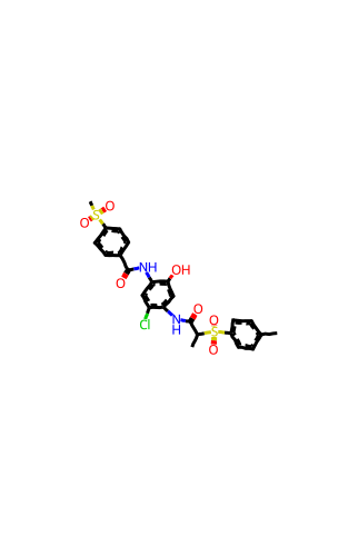 Cc1ccc(S(=O)(=O)C(C)C(=O)Nc2cc(O)c(NC(=O)c3ccc(S(C)(=O)=O)cc3)cc2Cl)cc1